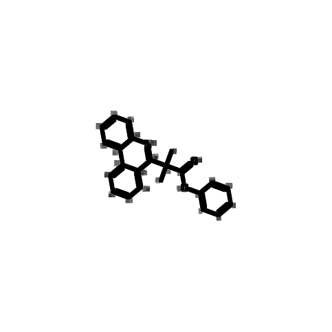 CC(C)(C(=O)Oc1ccccc1)c1nc2ccccc2c2ccccc12